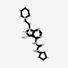 Cl.O=C(Nc1ncnc2c1cnn2CCN1CCCCC1)NC1CCCC1